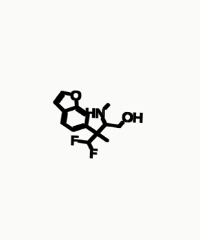 CNC(CO)C(C)(c1ccc2ccoc2c1)C(F)F